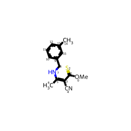 COC(=S)C(C#N)=C(C)NCc1cccc(C)c1